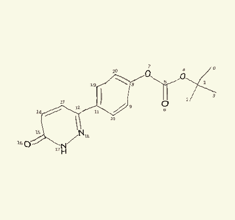 CC(C)(C)OC(=O)Oc1ccc(-c2ccc(=O)[nH]n2)cc1